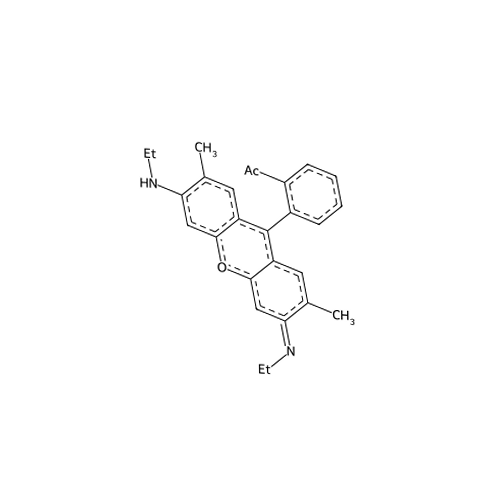 CC/N=c1\cc2oc3cc(NCC)c(C)cc3c(-c3ccccc3C(C)=O)c-2cc1C